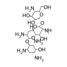 CNC1C(O[C@H]2OC(CO)[C@@H](N)[C@H](O)C2O)O[C@H]2CC(N)[C@@H](O[C@@H]3C(N)C[C@@H](N)C(O)[C@H]3N)OC2C1O